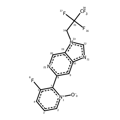 [O-][n+]1cccc(F)c1-c1cc2ncn(CC(F)(F)C(F)(F)F)c2cn1